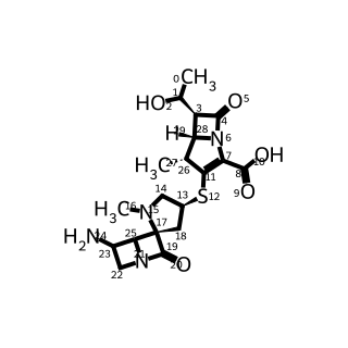 CC(O)[C@H]1C(=O)N2C(C(=O)O)=C(S[C@@H]3CN(C)[C@]4(C3)C(=O)N3CC(N)C34)[C@H](C)[C@H]12